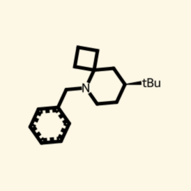 CC(C)(C)[C@H]1CCN(Cc2ccccc2)C2(CCC2)C1